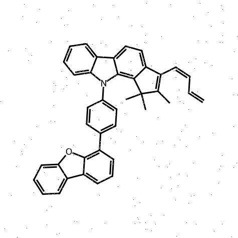 C=C/C=C\C1=C(C)C(C)(C)c2c1ccc1c3ccccc3n(-c3ccc(-c4cccc5c4oc4ccccc45)cc3)c21